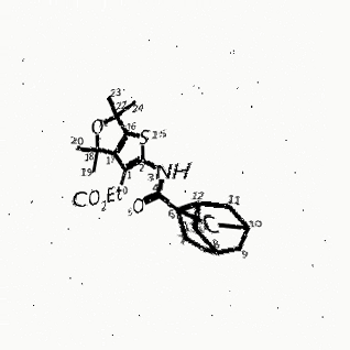 CCOC(=O)c1c(NC(=O)C23CC4CC(CC2C4)C3)sc2c1C(C)(C)OC2(C)C